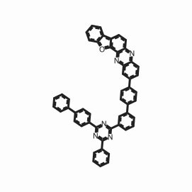 c1ccc(-c2ccc(-c3nc(-c4ccccc4)nc(-c4cccc(-c5ccc(-c6ccc7nc8ccc9c%10ccccc%10oc9c8nc7c6)cc5)c4)n3)cc2)cc1